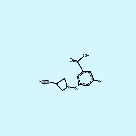 N#CC1CN(Sc2cc(F)cc(C(=O)O)c2)C1